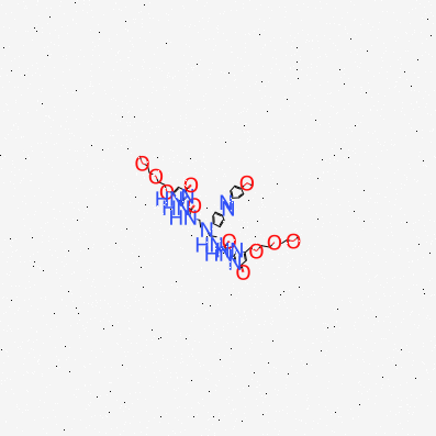 COCCOCCOCc1cc(=O)nc(NC(=O)NCCN(CCNC(=O)Nc2nc(=O)cc(OCCOCCOC)[nH]2)c2ccc(/N=N/c3ccc(OC)cc3)cc2)[nH]1